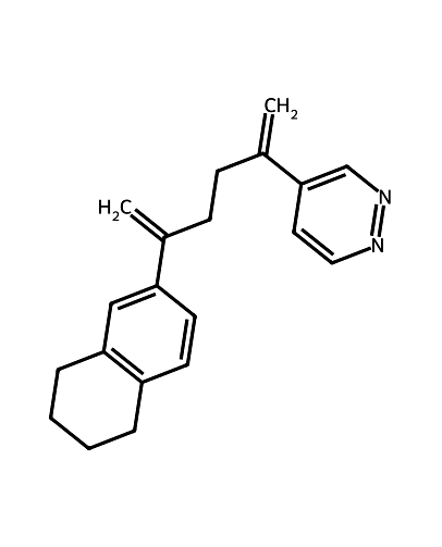 C=C(CCC(=C)c1ccc2c(c1)CCCC2)c1ccnnc1